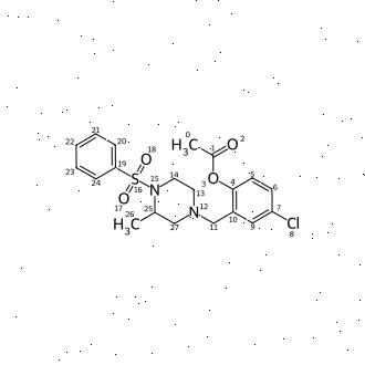 CC(=O)Oc1ccc(Cl)cc1CN1CCN(S(=O)(=O)c2ccccc2)C(C)C1